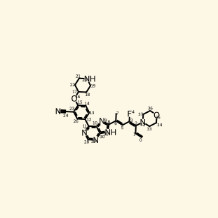 C=C/C(=C(F)\C=C(/C)c1nc2c(-c3ccc(OC4CCNCC4)c(C#N)c3)ncnc2[nH]1)N1CCOCC1